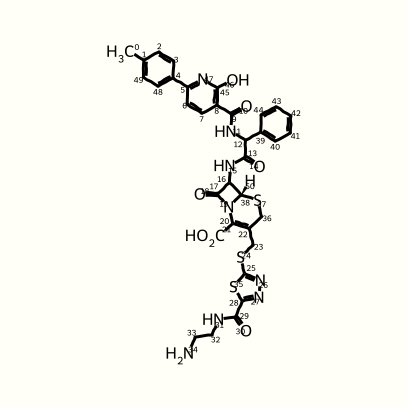 Cc1ccc(-c2ccc(C(=O)NC(C(=O)NC3C(=O)N4C(C(=O)O)=C(CSc5nnc(C(=O)NCCN)s5)CS[C@@H]34)c3ccccc3)c(O)n2)cc1